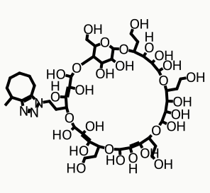 CC1CCCCCc2c1nnn2CCC1OC(O)/C(O)=C(\O)C(CCO)OC(O)/C(O)=C(/O)C(CCO)OC(O)C(O)C(O)C(CCO)OC(O)C(O)C(O)C(CCO)OC2OC(CO)C(OC(O)/C(O)=C/1O)C(O)C2O